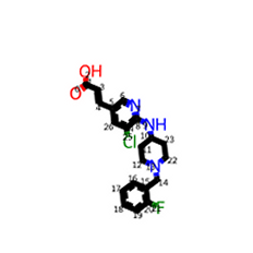 O=C(O)/C=C/c1cnc(NC2CCN(Cc3ccccc3F)CC2)c(Cl)c1